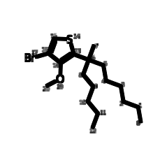 CCCCCCC(C)(CCCCC)c1scc(Br)c1OC